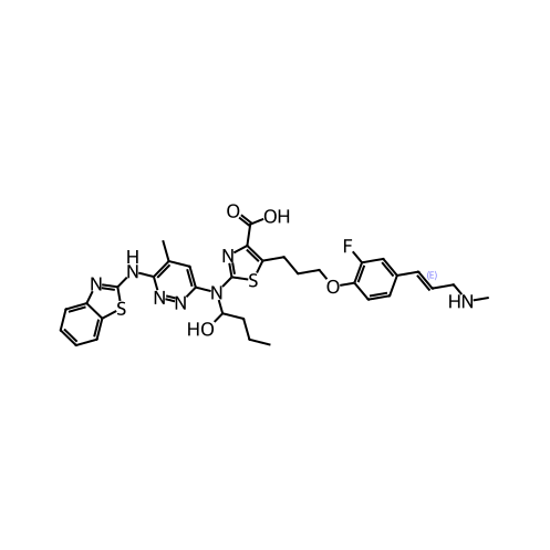 CCCC(O)N(c1cc(C)c(Nc2nc3ccccc3s2)nn1)c1nc(C(=O)O)c(CCCOc2ccc(/C=C/CNC)cc2F)s1